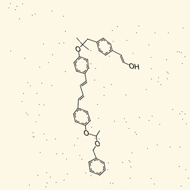 CC(OCc1ccccc1)Oc1ccc(C=CC=Cc2ccc(OC(C)(C)Cc3ccc(C=CO)cc3)cc2)cc1